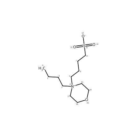 CCCC[N+]1(CCCCS(=O)(=O)[O-])CCOCC1